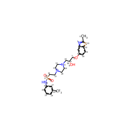 Cc1nc2cc(OC[C@H](O)CN3CCN(CCS(=O)(=O)Nc4cccc(C(F)(F)F)c4)CC3)ccc2s1